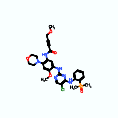 COCC#CC(=O)Nc1cc(Nc2ncc(Cl)c(Nc3ccccc3P(C)(C)=O)n2)c(OC)cc1N1CCOCC1